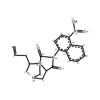 C=CCC1C[N@@]2CC3C(=O)N(c4ccc([N+](=O)O)c5ccccc45)C(=O)[N+]13C2